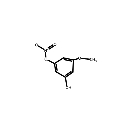 COc1cc(O)cc(O[N+](=O)[O-])c1